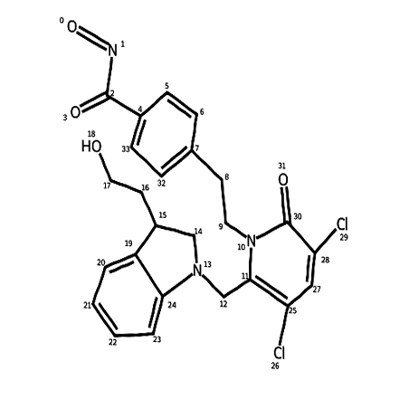 O=NC(=O)c1ccc(CCn2c(CN3CC(CCO)c4ccccc43)c(Cl)cc(Cl)c2=O)cc1